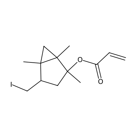 C=CC(=O)OC1(C)CC(CI)C2(C)CC12C